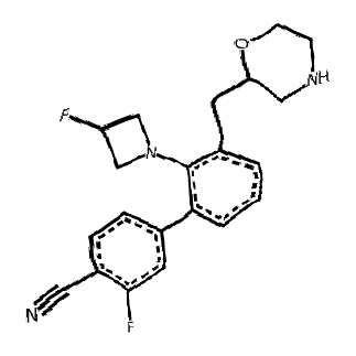 N#Cc1ccc(-c2cccc(CC3CNCCO3)c2N2CC(F)C2)cc1F